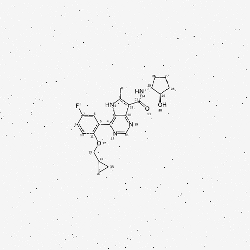 Cc1[nH]c2c(-c3cc(F)ccc3OCC3CC3)ncnc2c1C(=O)N[C@@H]1CCC[C@H]1O